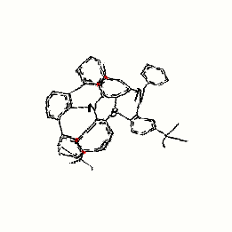 Cc1cc2c3c(c1)N(c1c(-c4ccccc4)cccc1-c1ccccc1)c1cc(C(C)(C)C)ccc1B3c1ccc(C(C)(C)C)cc1N2c1ccccc1